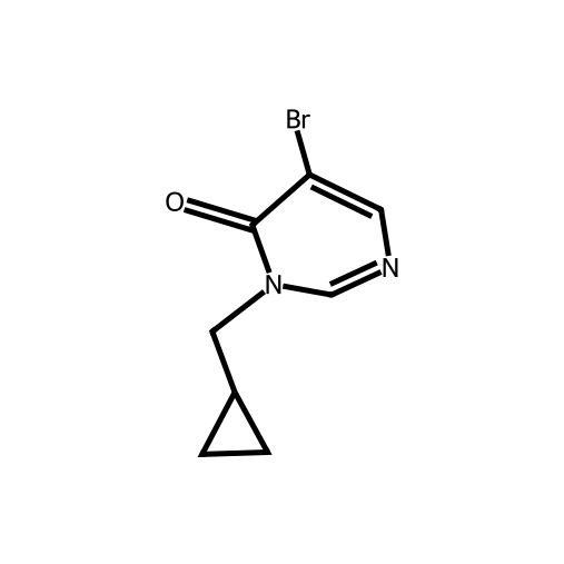 O=c1c(Br)cncn1CC1CC1